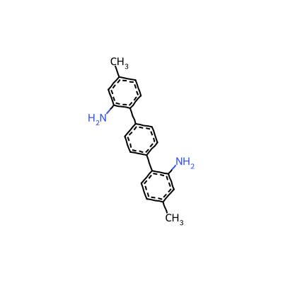 Cc1ccc(-c2ccc(-c3ccc(C)cc3N)cc2)c(N)c1